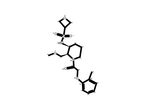 COC[C@H]1[C@@H](NS(=O)(=O)C2COC2)CCCN1C(=O)COc1ccccc1C